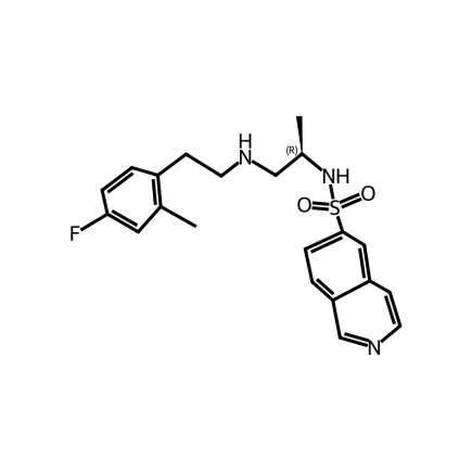 Cc1cc(F)ccc1CCNC[C@@H](C)NS(=O)(=O)c1ccc2cnccc2c1